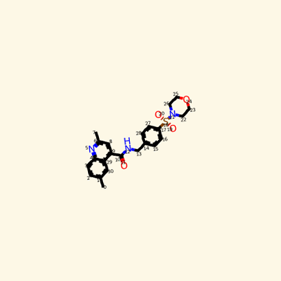 Cc1ccc2nc(C)cc(C(=O)NCc3ccc(S(=O)(=O)N4CCOCC4)cc3)c2c1